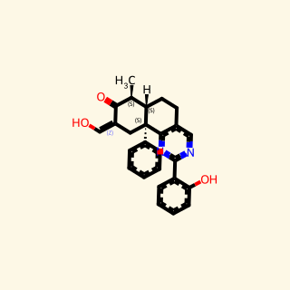 C[C@@H]1C(=O)/C(=C\O)C[C@]2(c3ccccc3)c3nc(-c4ccccc4O)ncc3CC[C@@H]12